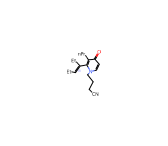 CC/C=C(\CC)c1c(CCC)c(=O)ccn1CCCC#N